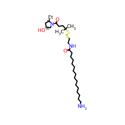 CC[C@@H]1C[C@@H](O)CN1C(=O)CCC(C)(C)SSCCNC(=O)CCCCCCCCCCCCCCCN